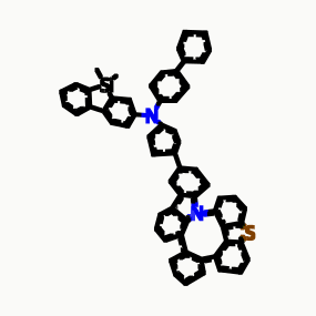 C[Si]1(C)c2ccccc2-c2ccc(N(c3ccc(-c4ccccc4)cc3)c3ccc(-c4ccc5c(c4)c4cccc6c7ccccc7c7cccc8sc9cccc(c9c87)n5c64)cc3)cc21